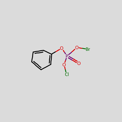 O=P(OCl)(OBr)Oc1ccccc1